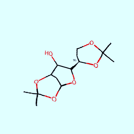 CC1(C)OC2OC([C@H]3COC(C)(C)O3)C(O)C2O1